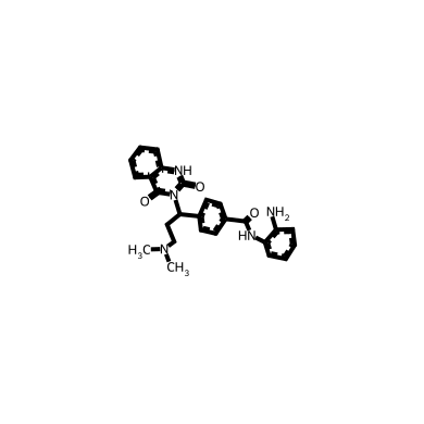 CN(C)CCC(c1ccc(C(=O)Nc2ccccc2N)cc1)n1c(=O)[nH]c2ccccc2c1=O